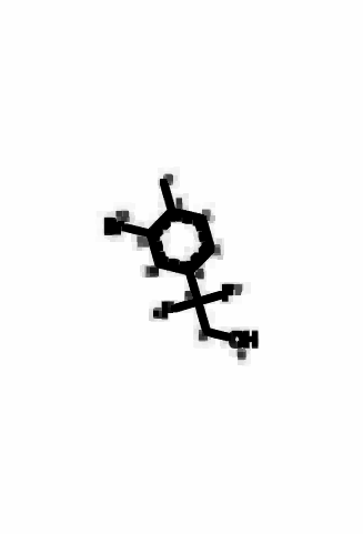 Cc1ccc(C(F)(F)CO)cc1Br